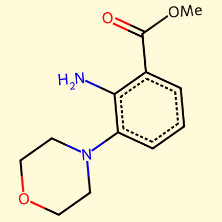 COC(=O)c1cccc(N2CCOCC2)c1N